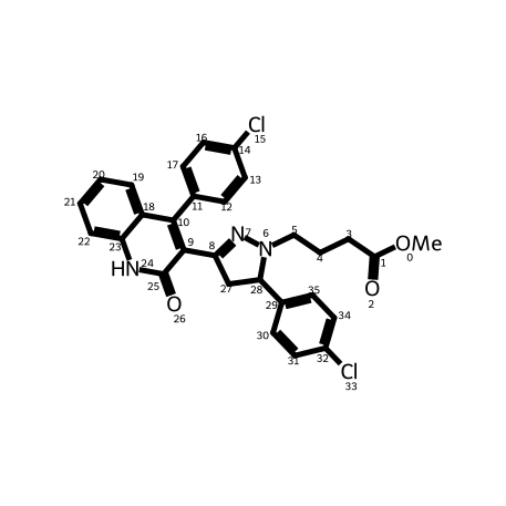 COC(=O)CCCN1N=C(c2c(-c3ccc(Cl)cc3)c3ccccc3[nH]c2=O)CC1c1ccc(Cl)cc1